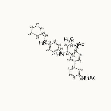 CC(=O)Nc1cccc(-c2ccc3c(c2)[C@H](Nc2ccc(NCC4CCCCC4)cc2)C[C@H](C)N3C(C)=O)c1